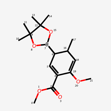 COC(=O)C1=CC(B2OC(C)(C)C(C)(C)O2)C(C)C=C1OC